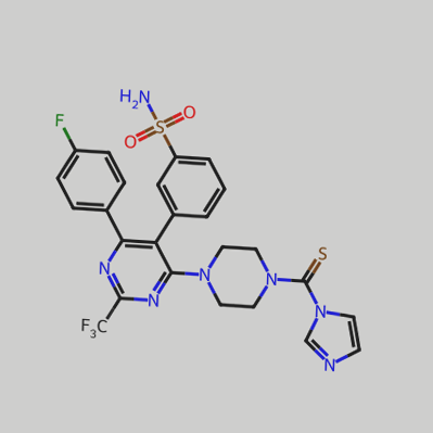 NS(=O)(=O)c1cccc(-c2c(-c3ccc(F)cc3)nc(C(F)(F)F)nc2N2CCN(C(=S)n3ccnc3)CC2)c1